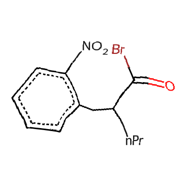 CCCC(C(=O)Br)c1ccccc1[N+](=O)[O-]